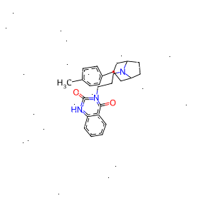 Cc1ccc(C2CC3CCC(C2)N3CCCn2c(=O)[nH]c3ccccc3c2=O)cc1